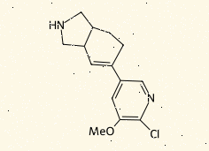 COc1cc(C2=CC3CNCC3CC2)cnc1Cl